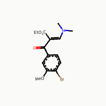 CCOC(=O)C(=CN(C)C)C(=O)c1ccc(Br)c(OC)c1